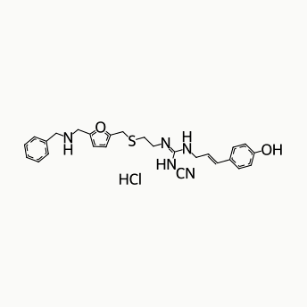 Cl.N#CN/C(=N\CCSCc1ccc(CNCc2ccccc2)o1)NC/C=C/c1ccc(O)cc1